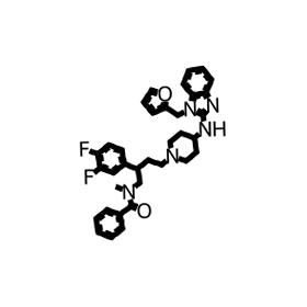 CN(CC(CCN1CCC(Nc2nc3ccccc3n2Cc2ccco2)CC1)c1ccc(F)c(F)c1)C(=O)c1ccccc1